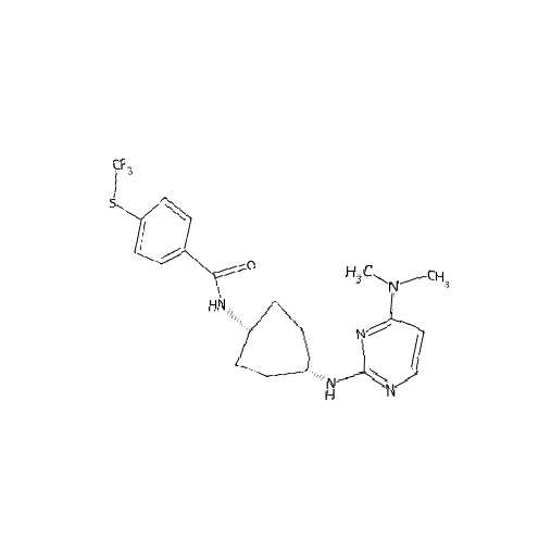 CN(C)c1ccnc(N[C@H]2CC[C@@H](NC(=O)c3ccc(SC(F)(F)F)cc3)CC2)n1